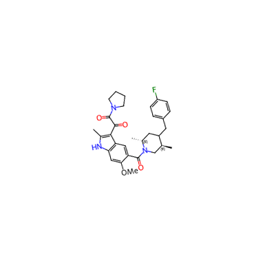 COc1cc2[nH]c(C)c(C(=O)C(=O)N3CCCC3)c2cc1C(=O)N1C[C@H](C)C(Cc2ccc(F)cc2)C[C@H]1C